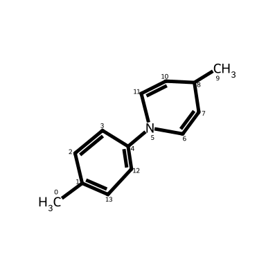 Cc1ccc(N2C=CC(C)C=C2)cc1